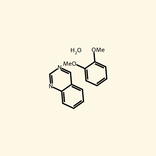 COc1ccccc1OC.O.c1ccc2ncncc2c1